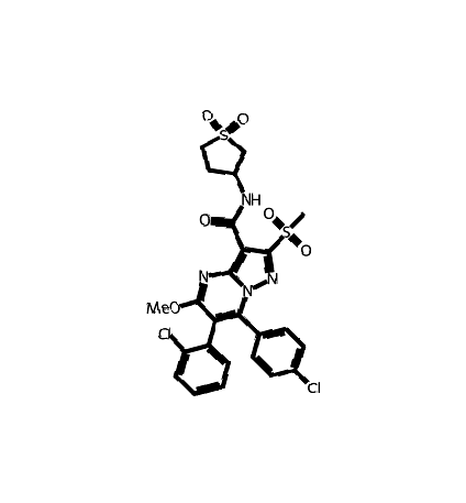 COc1nc2c(C(=O)NC3CCS(=O)(=O)C3)c(S(C)(=O)=O)nn2c(-c2ccc(Cl)cc2)c1-c1ccccc1Cl